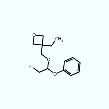 [2H]CC(OCC1(CC)COC1)Oc1ccccc1